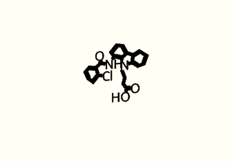 O=C(O)CCCn1c2ccccc2c2cccc(NC(=O)c3ccccc3Cl)c21